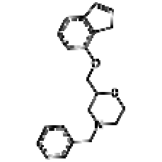 C1=Cc2cccc(OCC3CN(Cc4ccccc4)CCO3)c2C1